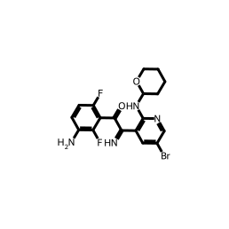 N=C(C(=O)c1c(F)ccc(N)c1F)c1cc(Br)cnc1NC1CCCCO1